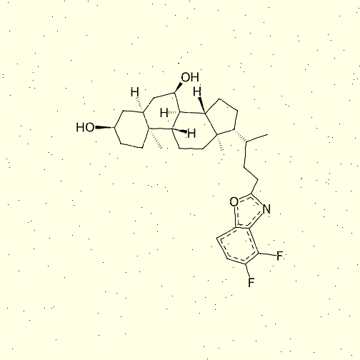 CC(CCc1nc2c(F)c(F)ccc2o1)[C@H]1CC[C@H]2[C@@H]3[C@H](O)C[C@@H]4C[C@H](O)CC[C@]4(C)[C@H]3CC[C@]12C